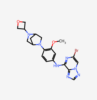 COc1cc(Nc2nc(Br)cn3ncnc23)ccc1N1CC2CC1CN2C1COC1